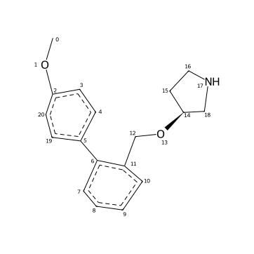 COc1ccc(-c2ccccc2CO[C@H]2CCNC2)cc1